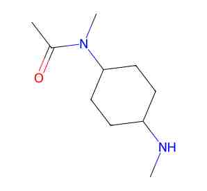 CNC1CCC(N(C)C(C)=O)CC1